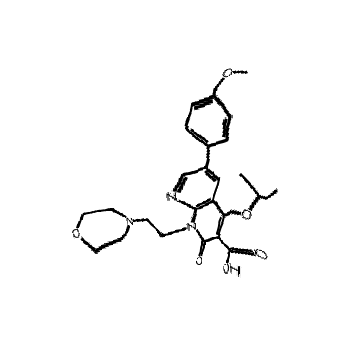 COc1ccc(-c2cnc3c(c2)c(OC(C)C)c(C(=O)O)c(=O)n3CCN2CCOCC2)cc1